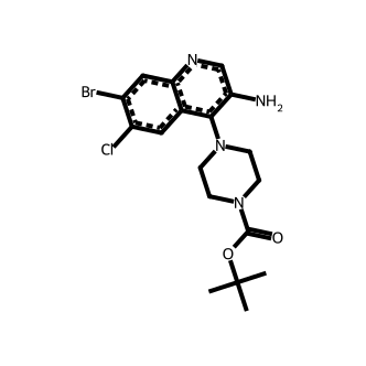 CC(C)(C)OC(=O)N1CCN(c2c(N)cnc3cc(Br)c(Cl)cc23)CC1